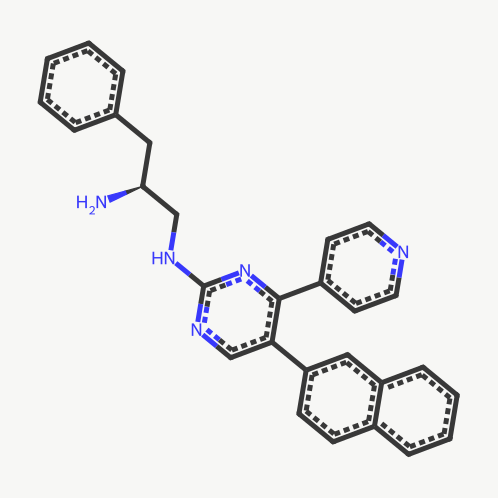 N[C@H](CNc1ncc(-c2ccc3ccccc3c2)c(-c2ccncc2)n1)Cc1ccccc1